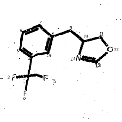 FC(F)(F)c1cccc(CC2CO[C]=N2)c1